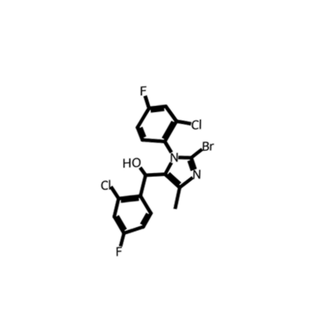 Cc1nc(Br)n(-c2ccc(F)cc2Cl)c1C(O)c1ccc(F)cc1Cl